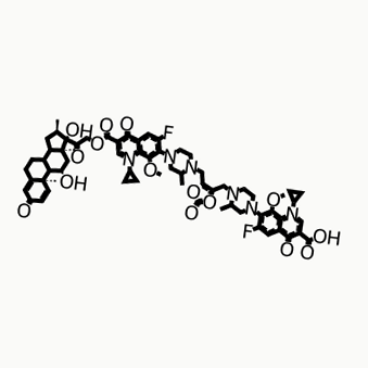 COc1c(N2CCN(Cc3oc(=O)oc3CN3CCN(c4c(F)cc5c(=O)c(C(=O)OCC(=O)[C@@]6(O)[C@H](C)CC7C8CCC9=CC(=O)C=C[C@]9(C)C8[C@@H](O)C[C@@]76C)cn(C6CC6)c5c4OC)CC3C)C(C)C2)c(F)cc2c(=O)c(C(=O)O)cn(C3CC3)c12